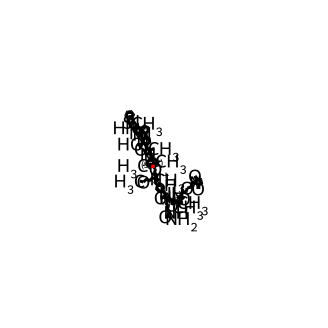 COCCC[N+](C)(CCOC12CC3(Cn4ncc(-c5ccc(N6CCCc7c6nnc(Nc6nc8ccccc8s6)c7C)nc5C(=O)O)c4C)C[C@@](C)(C1)C[C@](C)(C3)C2)Cc1ccc(NC(=O)[C@H](CCCNC(N)=O)NC(=O)[C@@H](NC(=O)CCOCCN2C(=O)C=CC2=O)C(C)C)cc1